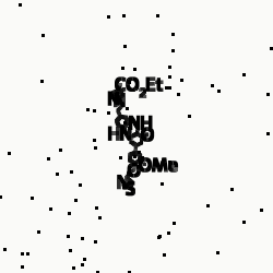 CCOC(=O)c1cnn(CCc2ccc3c(c2)NCC2=C(C=C(c4ccc(OCc5cscn5)c(OC)c4)CC2=O)N3)c1